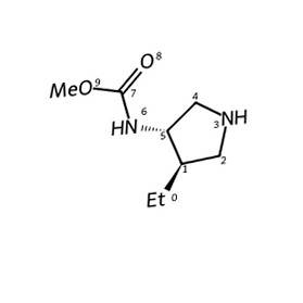 CC[C@@H]1CNC[C@H]1NC(=O)OC